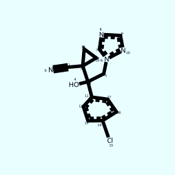 N#CC1(C(O)(Cn2cncn2)c2ccc(Cl)cc2)CC1